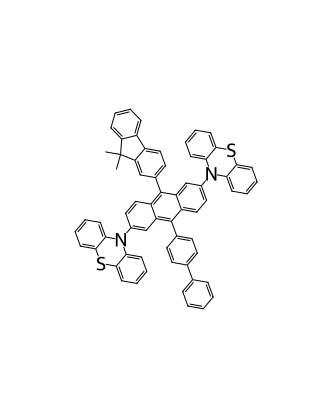 CC1(C)c2ccccc2-c2ccc(-c3c4ccc(N5c6ccccc6Sc6ccccc65)cc4c(-c4ccc(-c5ccccc5)cc4)c4ccc(N5c6ccccc6Sc6ccccc65)cc34)cc21